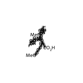 C/C=C1\CC2C=Nc3cc(OCc4cc(OCCN(CCCC(=O)O)C(=O)CCOCCOCCOCCOC)cc(COc5cc6c(cc5OC)C(=O)N5C/C(=C/C)C[C@H]5C=N6)n4)c(OC)cc3C(=O)N2C1